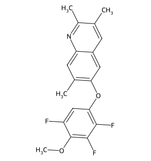 COc1c(F)cc(Oc2cc3cc(C)c(C)nc3cc2C)c(F)c1F